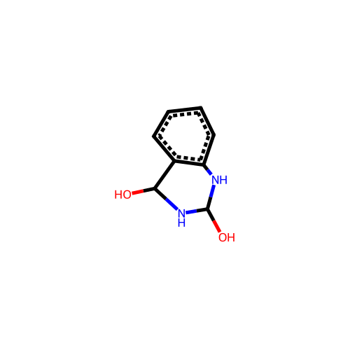 OC1Nc2ccccc2C(O)N1